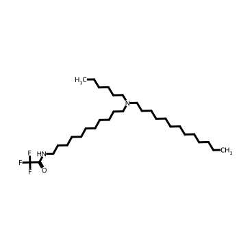 CCCCCCCCCCCCCN(CCCCCC)CCCCCCCCCCCNC(=O)C(F)(F)F